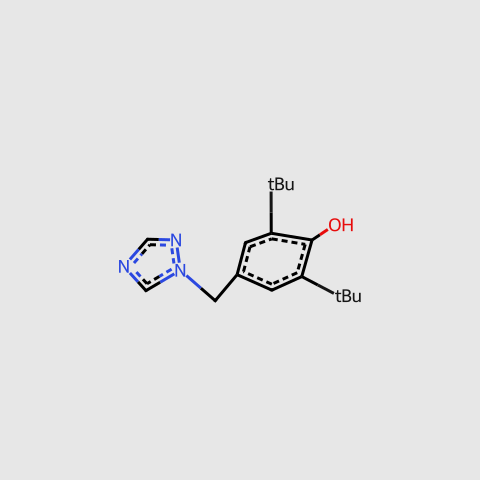 CC(C)(C)c1cc(Cn2cncn2)cc(C(C)(C)C)c1O